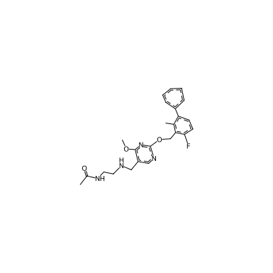 COc1nc(OCc2c(F)ccc(-c3ccccc3)c2C)ncc1CNCCNC(C)=O